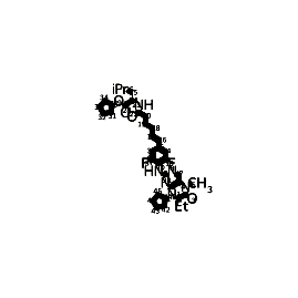 CC[C@@H]1C(=O)N(C)c2cnc(Nc3c(F)cc(/C=C/CCCC(=O)N[C@@H](CC(C)C)C(=O)OC4CCCC4)cc3F)nc2N1C1CCCC1